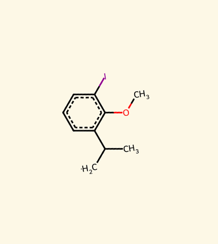 [CH2]C(C)c1cccc(I)c1OC